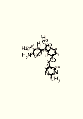 Cc1ncc(COc2ccc3oc(C)c(C(=O)N[C@@H](CO)C(N)=O)c3c2)cn1